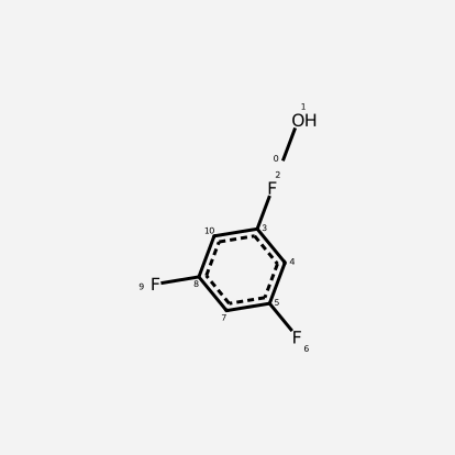 CO.Fc1cc(F)cc(F)c1